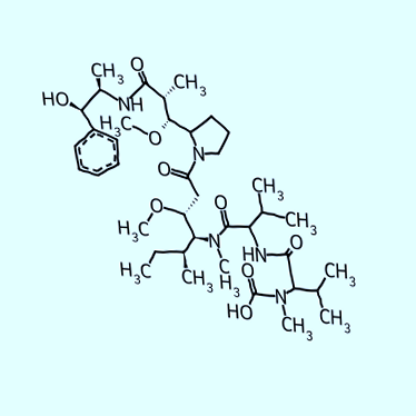 CC[C@H](C)[C@@H]([C@@H](CC(=O)N1CCCC1[C@H](OC)[C@@H](C)C(=O)N[C@H](C)[C@H](O)c1ccccc1)OC)N(C)C(=O)C(NC(=O)C(C(C)C)N(C)C(=O)O)C(C)C